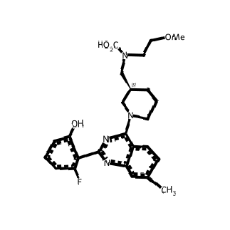 COCCN(C[C@H]1CCCN(c2nc(-c3c(O)cccc3F)nc3cc(C)ccc23)C1)C(=O)O